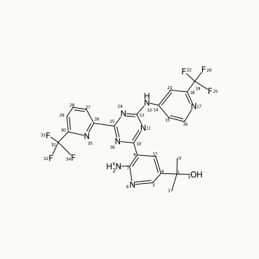 CC(C)(O)c1cnc(N)c(-c2nc(Nc3ccnc(C(F)(F)F)c3)nc(-c3cccc(C(F)(F)F)n3)n2)c1